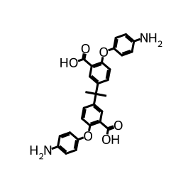 CC(C)(c1ccc(Oc2ccc(N)cc2)c(C(=O)O)c1)c1ccc(Oc2ccc(N)cc2)c(C(=O)O)c1